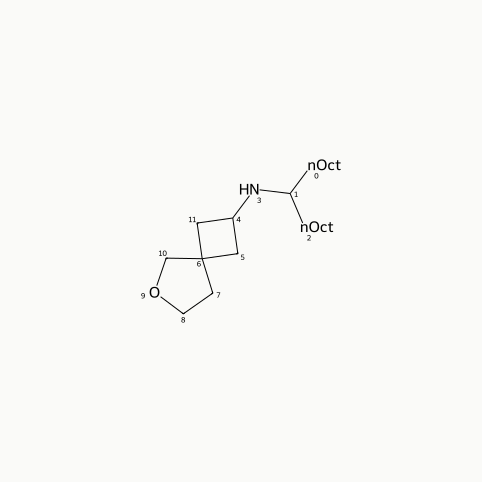 CCCCCCCCC(CCCCCCCC)NC1CC2(CCOC2)C1